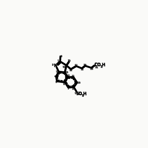 CC1=Nc2ccc3cc(S(=O)(=O)O)ccc3c2C1(C)CCCCCC(=O)O